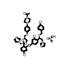 CC(=O)N1CCN(c2ccc(OC[C@H]3CO[C@](Cn4ccnc4)(c4ccc(Cl)cc4Cl)O3)cc2)CC1.Clc1ccc(CSC(Cn2ccnc2)c2ccc(Cl)cc2Cl)cc1.O=[N+]([O-])O